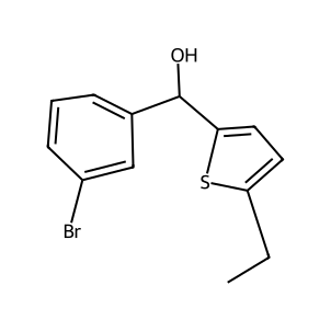 CCc1ccc(C(O)c2cccc(Br)c2)s1